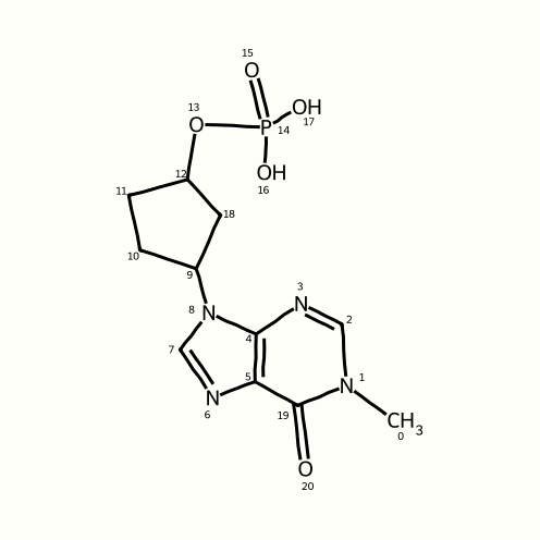 Cn1cnc2c(ncn2C2CCC(OP(=O)(O)O)C2)c1=O